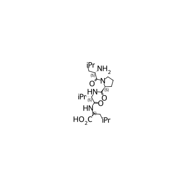 CC(C)C[C@H](NC(=O)[C@@H](NC(=O)[C@@H]1CCCN1C(=O)[C@@H](N)CC(C)C)C(C)C)C(=O)O